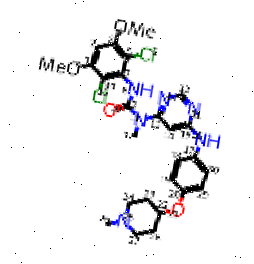 COc1cc(OC)c(Cl)c(NC(=O)N(C)c2cc(Nc3ccc(OC4CCN(C)CC4)cc3)ncn2)c1Cl